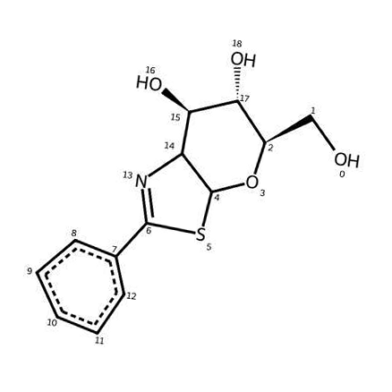 OC[C@H]1OC2SC(c3ccccc3)=NC2[C@@H](O)[C@@H]1O